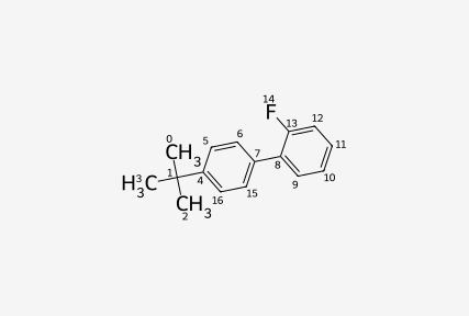 CC(C)(C)c1ccc(-c2ccccc2F)cc1